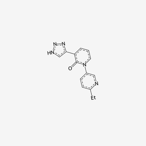 CCc1ccc(-n2cccc(-c3c[nH]nn3)c2=O)cn1